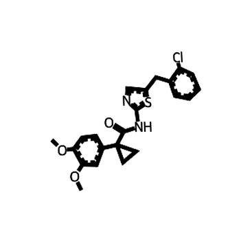 COc1ccc(C2(C(=O)Nc3ncc(Cc4ccccc4Cl)s3)CC2)cc1OC